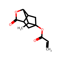 C=CC(=O)OC12CC3C(=O)OC(C3C1)C2C